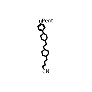 CCCCCc1ccc(C2CCC(CCC3CCC(CCC=CC#N)CC3)CC2)cc1